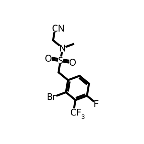 CN(CC#N)S(=O)(=O)Cc1ccc(F)c(C(F)(F)F)c1Br